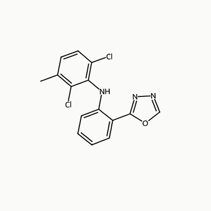 Cc1ccc(Cl)c(Nc2ccccc2-c2nnco2)c1Cl